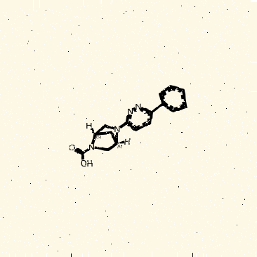 O=C(O)N1C[C@@H]2C[C@H]1CN2c1ccc(-c2ccccc2)nn1